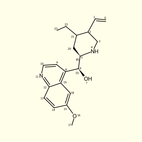 C=CC1CN[C@@H]([C@@H](O)c2ccnc3ccc(OC)cc23)CC1CC